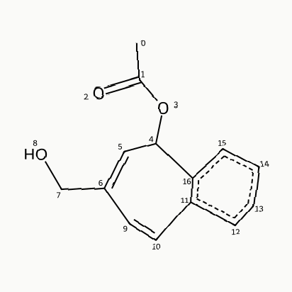 CC(=O)OC1C=C(CO)C=Cc2ccccc21